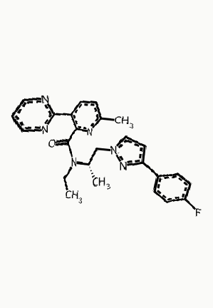 CCN(C(=O)c1nc(C)ccc1-c1ncccn1)[C@@H](C)Cn1ccc(-c2ccc(F)cc2)n1